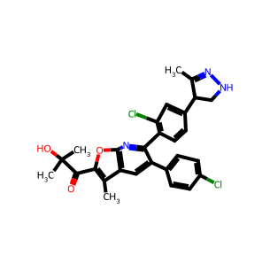 CC1=NNCC1c1ccc(-c2nc3oc(C(=O)C(C)(C)O)c(C)c3cc2-c2ccc(Cl)cc2)c(Cl)c1